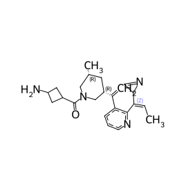 C=C(c1cccnc1/C(=C\C)C1C=N1)[C@H]1C[C@@H](C)CN(C(=O)C2CC(N)C2)C1